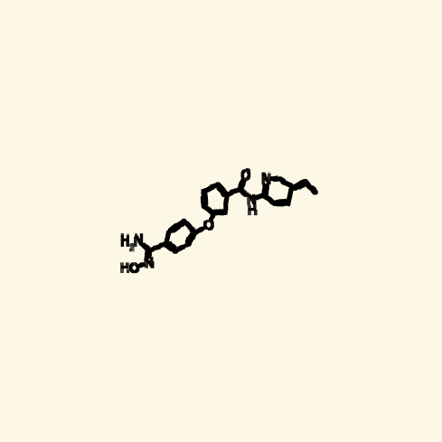 C/C=C1\C=CC(NC(=O)c2cccc(Oc3ccc(/C(N)=N/O)cc3)c2)=NC1